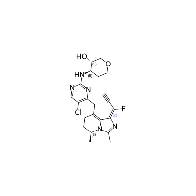 C#C/C(F)=c1/nc(C)n2c1=C(Cc1nc(N[C@@H]3CCOC[C@H]3O)ncc1Cl)CC[C@@H]2C